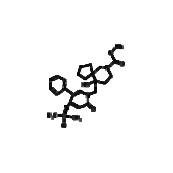 CC(C)(C)OC(=O)N1CCC(O)(Cn2cc(-c3ccccc3)c(N=S(C)(C)=O)cc2=O)C2(CCCC2)C1